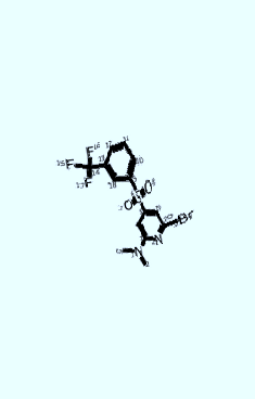 CN(C)c1cc(S(=O)(=O)c2cccc(C(F)(F)F)c2)cc(Br)n1